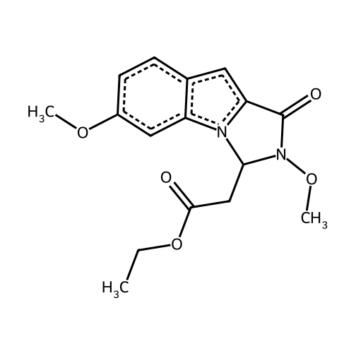 CCOC(=O)CC1N(OC)C(=O)c2cc3ccc(OC)cc3n21